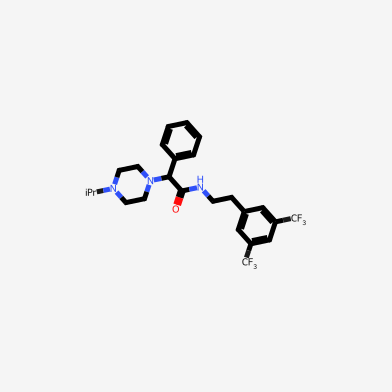 CC(C)N1CCN(C(C(=O)NCCc2cc(C(F)(F)F)cc(C(F)(F)F)c2)c2ccccc2)CC1